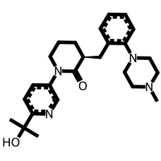 CN1CCN(c2ccccc2C[C@@H]2CCCN(c3ccc(C(C)(C)O)nc3)C2=O)CC1